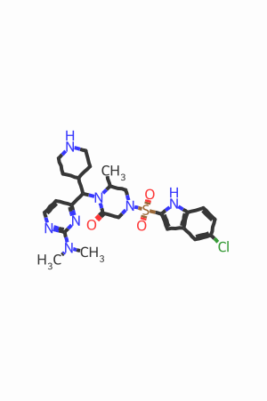 CC1CN(S(=O)(=O)c2cc3cc(Cl)ccc3[nH]2)CC(=O)N1C(c1ccnc(N(C)C)n1)C1CCNCC1